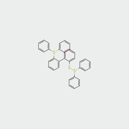 c1ccc([S+](Sc2ccccc2-c2ccccc2[S+](c2ccccc2)c2ccccc2)c2ccccc2)cc1